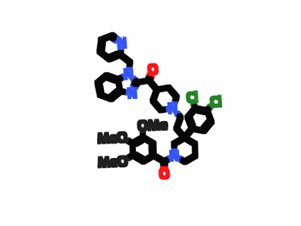 COc1cc(C(=O)N2CCCC(CCN3CCC(C(=O)c4nc5ccccc5n4Cc4ccccn4)CC3)(c3ccc(Cl)c(Cl)c3)C2)cc(OC)c1OC